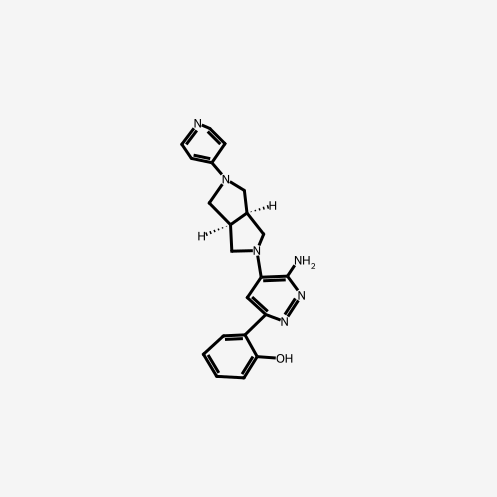 Nc1nnc(-c2ccccc2O)cc1N1C[C@H]2CN(c3ccncc3)C[C@H]2C1